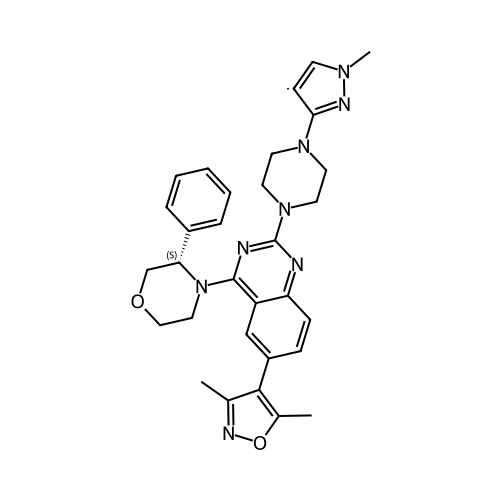 Cc1noc(C)c1-c1ccc2nc(N3CCN(c4[c]cn(C)n4)CC3)nc(N3CCOC[C@@H]3c3ccccc3)c2c1